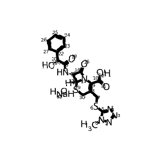 Cn1nnnc1SCC1=C(C(=O)O)N2C(=O)[C@@H](NC(=O)[C@H](O)c3ccccc3)[C@H]2SC1.O.[NaH]